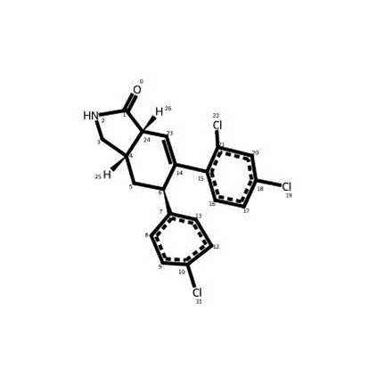 O=C1NC[C@H]2C[C@H](c3ccc(Cl)cc3)C(c3ccc(Cl)cc3Cl)=C[C@@H]12